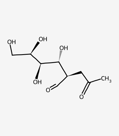 CC(=O)C[C@@H](C=O)[C@@H](O)[C@@H](O)[C@H](O)CO